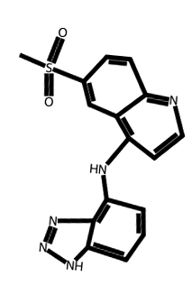 CS(=O)(=O)c1ccc2nccc(Nc3cccc4[nH]nnc34)c2c1